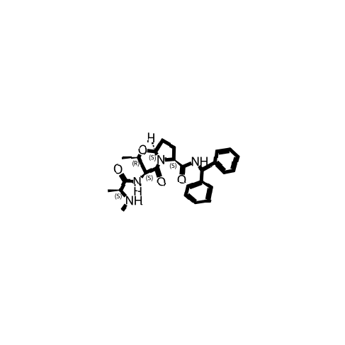 CN[C@@H](C)C(=O)N[C@@H]1C(=O)N2[C@H](CC[C@H]2C(=O)NC(c2ccccc2)c2ccccc2)O[C@@H]1C